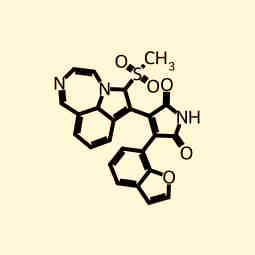 CS(=O)(=O)C1C(C2=C(c3cccc4ccoc34)C(=O)NC2=O)=C2C=CC=C3C=NC=CN1C32